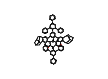 c1ccc(-c2cc(-c3ccccc3)c(-c3cc4c5c(c3)-c3cc6c(c7ccc8c(c37)B5c3c(ccc5c7c(cc-4c35)C3CC4CC(C3)CC7C4)N8c3c(-c4ccccc4)cc(-c4ccccc4)cc3-c3ccccc3)C3CC4CC5CC6CC54C3)c(-c3ccccc3)c2)cc1